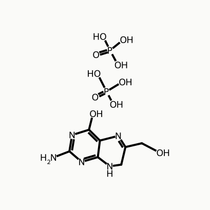 Nc1nc(O)c2c(n1)NCC(CO)=N2.O=P(O)(O)O.O=P(O)(O)O